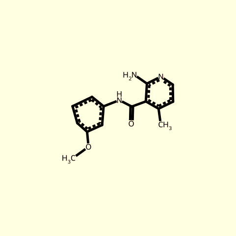 COc1cccc(NC(=O)c2c(C)ccnc2N)c1